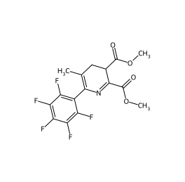 COC(=O)C1=NC(c2c(F)c(F)c(F)c(F)c2F)=C(C)CC1C(=O)OC